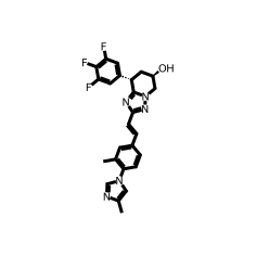 Cc1cn(-c2ccc(/C=C/c3nc4n(n3)C[C@H](O)C[C@H]4c3cc(F)c(F)c(F)c3)cc2C)cn1